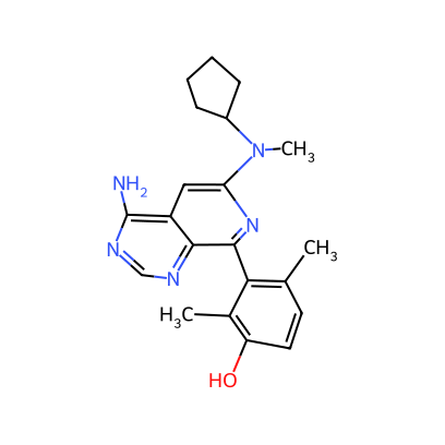 Cc1ccc(O)c(C)c1-c1nc(N(C)C2CCCC2)cc2c(N)ncnc12